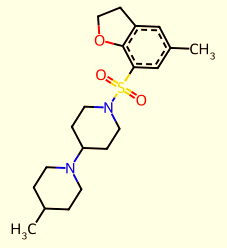 Cc1cc2c(c(S(=O)(=O)N3CCC(N4CCC(C)CC4)CC3)c1)OCC2